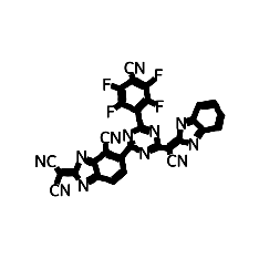 N#CC(C#N)=C1N=c2ccc(-c3nc(C(C#N)=C4N=c5ccccc5=N4)nc(-c4c(F)c(F)c(C#N)c(F)c4F)n3)c(C#N)c2=N1